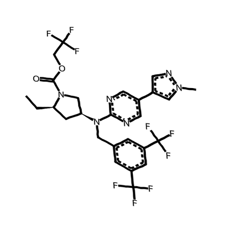 CC[C@@H]1C[C@H](N(Cc2cc(C(F)(F)F)cc(C(F)(F)F)c2)c2ncc(-c3cnn(C)c3)cn2)CN1C(=O)OCC(F)(F)F